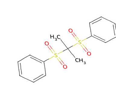 CC(C)(S(=O)(=O)c1ccccc1)S(=O)(=O)c1ccccc1